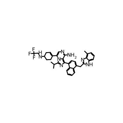 Cc1cccc2[nH]c(Cc3ccc(-c4nc(C(C)C)n5c(C6=CCC(NCC(F)(F)F)CC6)cnc(N)c45)c4ccccc34)nc12